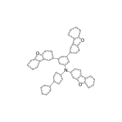 c1ccc(-c2ccc(N(c3cc(-c4ccc5oc6ccccc6c5c4)cc(-c4ccc5oc6ccccc6c5c4)c3)c3ccc4c(c3)oc3ccccc34)cc2)cc1